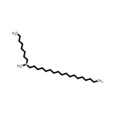 CCCCCCCCCCCCCCCCCC[S+](C)CCCCCCCC